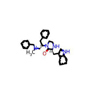 CN(Cc1ccccc1)C[C@H](Cc1ccccc1)N1CCN[C@@H](Cc2c[nH]c3ccccc23)C1=O